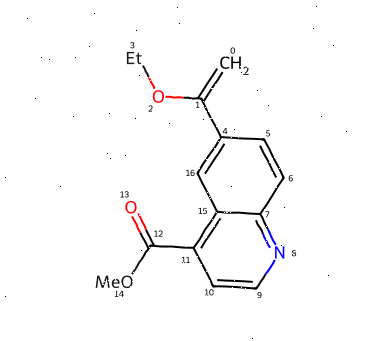 C=C(OCC)c1ccc2nccc(C(=O)OC)c2c1